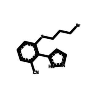 N#Cc1cccc(SCCCBr)c1-c1ccn[nH]1